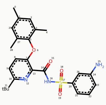 Cc1cc(C)c(Oc2ccc(C(C)(C)C)nc2C(=O)NS(=O)(=O)c2cccc(N)c2)c(C)c1